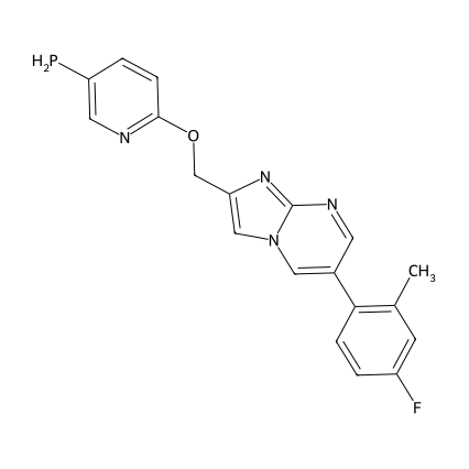 Cc1cc(F)ccc1-c1cnc2nc(COc3ccc(P)cn3)cn2c1